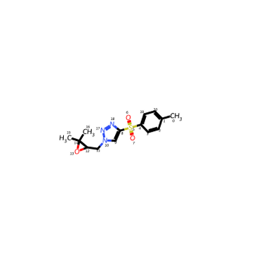 Cc1ccc(S(=O)(=O)c2cn(CC3OC3(C)C)nn2)cc1